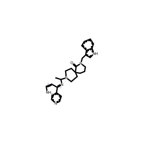 CC(/N=C(\C=C/N)c1ccncc1)N1CCC2(CCCN(Cc3c[nH]c4ccccc34)C2=O)CC1